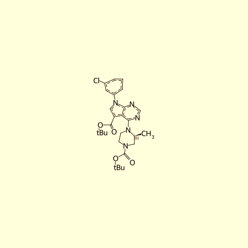 C[C@H]1CN(C(=O)OC(C)(C)C)CCN1c1ncnc2c1c(C(=O)OC(C)(C)C)cn2-c1cccc(Cl)c1